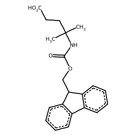 CC(C)(CCC(=O)O)NC(=O)OCC1c2ccccc2-c2ccccc21